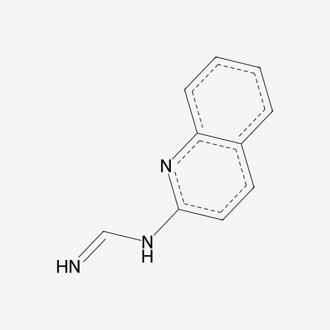 N=CNc1ccc2ccccc2n1